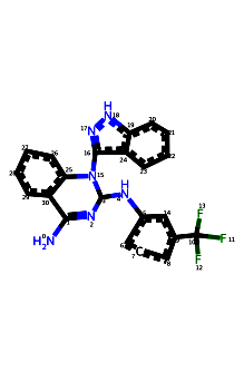 NC1=NC(Nc2cccc(C(F)(F)F)c2)N(c2n[nH]c3ccccc23)c2ccccc21